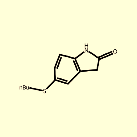 CCCCSc1ccc2c(c1)CC(=O)N2